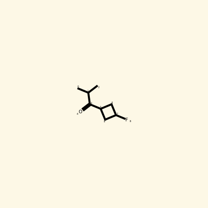 CC(C)C(=O)C1CC(F)C1